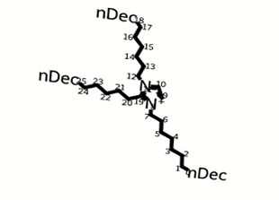 CCCCCCCCCCCCCCCCC[n+]1ccn(CCCCCCCCCCCCCCCC)c1CCCCCCCCCCCCCCC